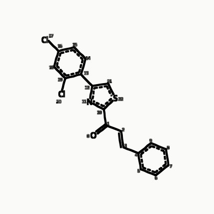 O=C(C=Cc1ccccc1)c1nc(-c2ccc(Cl)cc2Cl)cs1